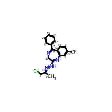 C/C(CCl)=N\NC1=Nc2cc(C(F)(F)F)ccc2C(c2ccccc2)=NC1